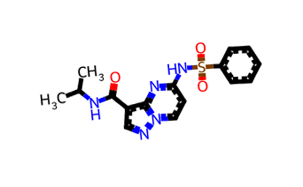 CC(C)NC(=O)c1cnn2ccc(NS(=O)(=O)c3ccccc3)nc12